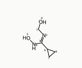 OCN=C(NO)C1CC1